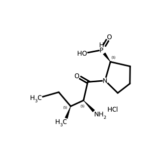 CC[C@H](C)[C@H](N)C(=O)N1CCC[C@@H]1[PH](=O)O.Cl